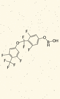 OBOc1cc(F)c(C(F)(F)Oc2cc(F)c(C(F)(F)F)c(F)c2)c(F)c1